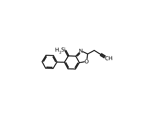 C#CCC1N=c2c(ccc(-c3ccccc3)c2=[SiH2])O1